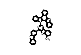 CC1CC=Cc2c1sc1c(-c3ccc4oc5ccccc5c4c3)nc(-n3c4ccccc4c4c5ccccc5c5sc6ccccc6c5c43)nc21